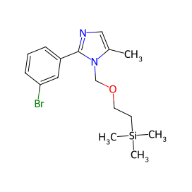 Cc1cnc(-c2cccc(Br)c2)n1COCC[Si](C)(C)C